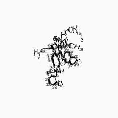 CCCCN(CCCC)C(=O)c1cc(C)n(-c2ccc(NC(=O)Cc3c(F)cccc3Cl)cc2C(=O)N2Cc3ccccc3C[C@H]2CO)n1